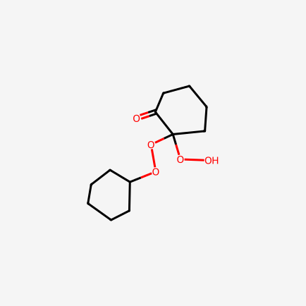 O=C1CCCCC1(OO)OOC1CCCCC1